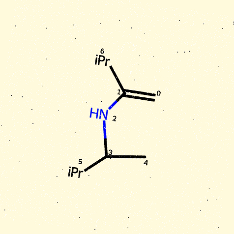 C=C(NC(C)C(C)C)C(C)C